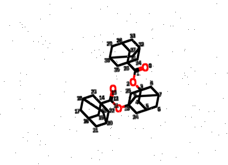 O=C(OC12CC3CC(C1)CC(OC(=O)C14CC5CC(CC(C5)C1)C4)(C3)C2)C12CC3CC(CC(C3)C1)C2